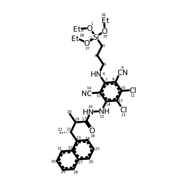 CCO[Si](CCCNc1c(C#N)c(Cl)c(Cl)c(NNC(=O)C(C)[C@@H](C)c2cccc3ccccc23)c1C#N)(OCC)OCC